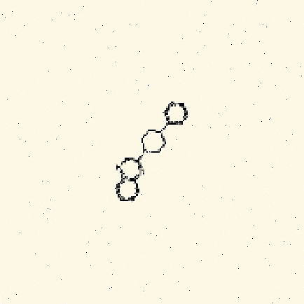 c1ccc(C2CCN(c3cnc4ccccc4n3)CC2)cc1